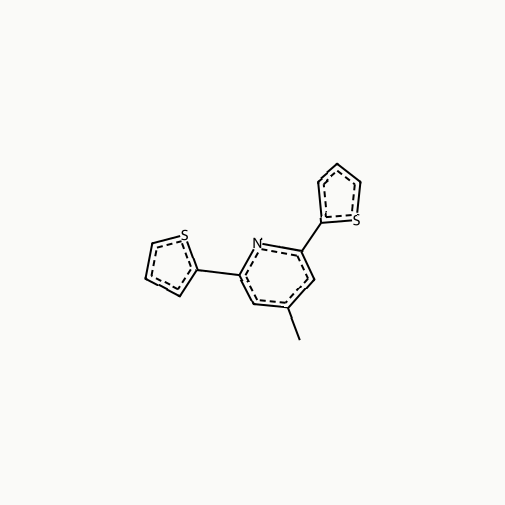 Cc1cc(-c2cccs2)nc(-c2cccs2)c1